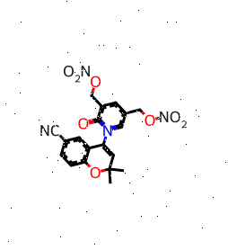 CC1(C)C=C(n2cc(CO[N+](=O)[O-])cc(CO[N+](=O)[O-])c2=O)c2cc(C#N)ccc2O1